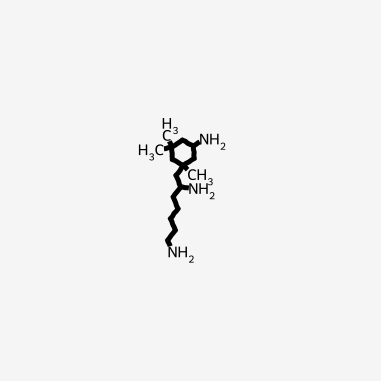 CC1(C)CC(N)CC(C)(CC(N)CCCCCN)C1